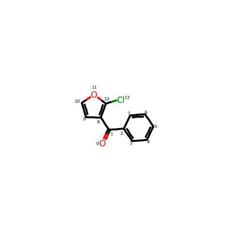 O=C(c1ccccc1)c1ccoc1Cl